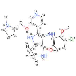 COc1c(Cl)cccc1Nc1c(-c2ccncc2OC[C@@H]2CCCN2C)[nH]c2c1C(=O)N[C@H]1C[C@@H]21